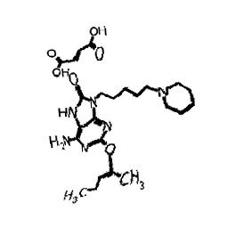 CCC[C@H](C)Oc1nc(N)c2[nH]c(=O)n(CCCCCN3CCCCC3)c2n1.O=C(O)C=CC(=O)O